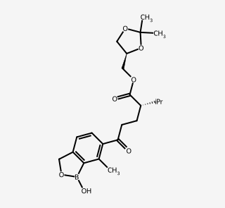 Cc1c(C(=O)CC[C@H](C(=O)OC[C@H]2COC(C)(C)O2)C(C)C)ccc2c1B(O)OC2